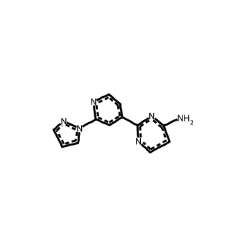 Nc1ccnc(-c2ccnc(-n3cccn3)c2)n1